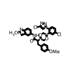 COc1ccc(CC(C(=O)Nc2ccc3nn(C)cc3c2)N2CON(c3cc(Cl)ccc3-n3cc(Cl)nn3)CO2)cc1